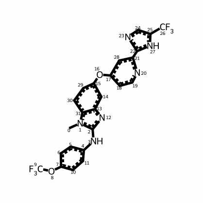 Cn1c(Nc2ccc(OC(F)(F)F)cc2)nc2cc(Oc3ccnc(-c4ncc(C(F)(F)F)[nH]4)c3)ccc21